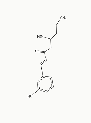 CCCC(O)CC(=O)/C=C/c1cccc(O)c1